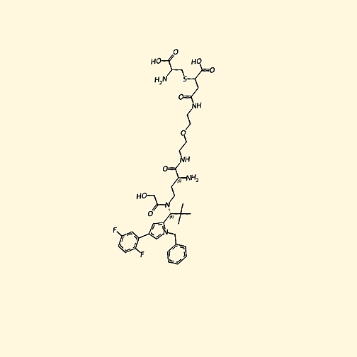 CC(C)(C)[C@H](c1cc(-c2cc(F)ccc2F)cn1Cc1ccccc1)N(CC[C@H](N)C(=O)NCCOCCNC(=O)CC(SCC(N)C(=O)O)C(=O)O)C(=O)CO